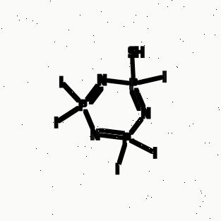 SP1(I)=NP(I)(I)=NP(I)(I)=N1